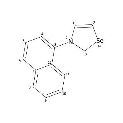 C1=CN(c2cccc3ccccc23)C[Se]1